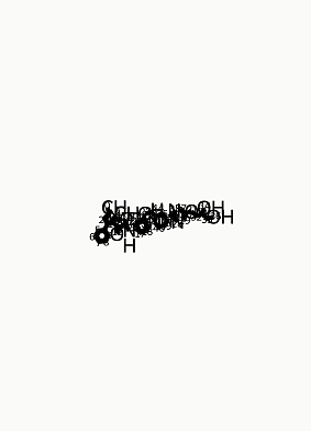 Cc1cc(-c2ccccc2)c(C(=O)C(=O)Nc2ccc3c(c2)OC[C@H]2CN(c4ncc(OCC(O)CO)cn4)CCN32)n1C